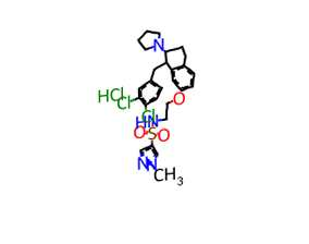 Cl.Cn1cc(S(=O)(=O)NCCOc2ccc3c(c2)C(Cc2ccc(Cl)c(Cl)c2)C(N2CCCC2)CC3)cn1